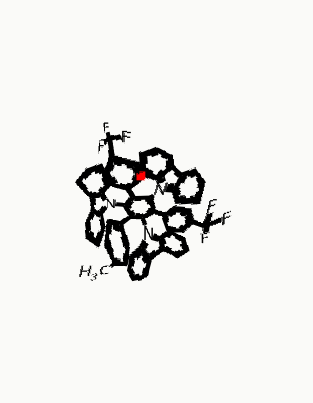 Cc1ccc(-c2c(-n3c4ccccc4c4ccccc43)c(-c3ccc(C(F)(F)F)cc3)c(-n3c4ccccc4c4ccccc43)c(-c3ccc(C(F)(F)F)cc3)c2-n2c3ccccc3c3ccccc32)cc1